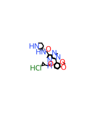 Cl.O=C(N[C@@H]1CCCNC1)c1c[nH]c2c(-c3c(OCC4CC4)ccc4c3OCO4)ncnc12